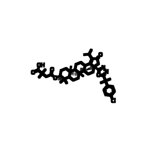 CC(C)C1=C2C3CCC4[C@@]5(C)CC[C@H](OC(=O)CC(C)(C)C(=O)O)C(C)(C)C5CC[C@@]4(C)[C@]3(C)CC[C@@]2(c2nnc(C(C)(C)c3ccc(Cl)cc3)o2)CC1=O